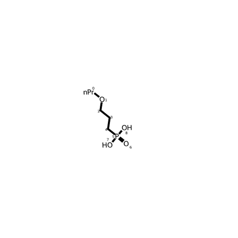 CCCOCCCP(=O)(O)O